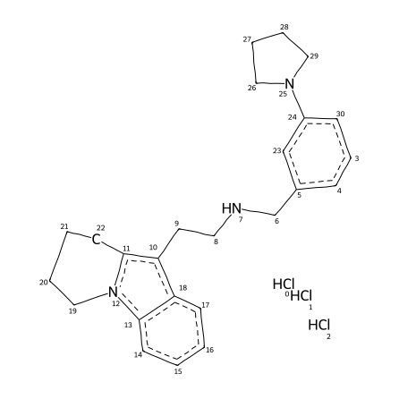 Cl.Cl.Cl.c1cc(CNCCc2c3n(c4ccccc24)CCCC3)cc(N2CCCC2)c1